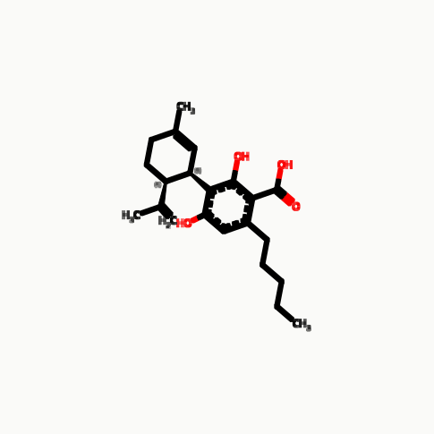 C=C(C)[C@H]1CCC(C)=C[C@H]1c1c(O)cc(CCCCC)c(C(=O)O)c1O